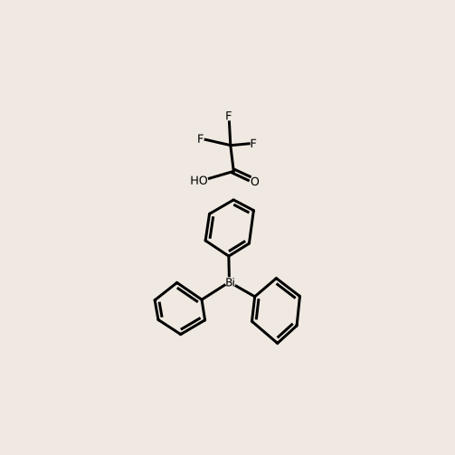 O=C(O)C(F)(F)F.c1cc[c]([Bi]([c]2ccccc2)[c]2ccccc2)cc1